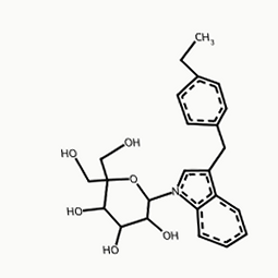 CCc1ccc(Cc2cn(C3OC(CO)(CO)C(O)C(O)C3O)c3ccccc23)cc1